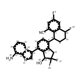 N#Cc1cc(F)cc2c1C(c1ccc(-c3cnc4c(N)cccn34)c3c1CC(F)(F)C3O)CCC2F